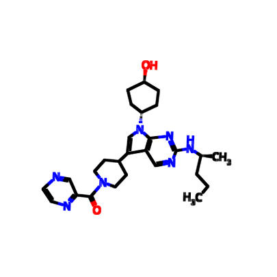 CCC[C@H](C)Nc1ncc2c(C3CCN(C(=O)c4cnccn4)CC3)cn([C@H]3CC[C@H](O)CC3)c2n1